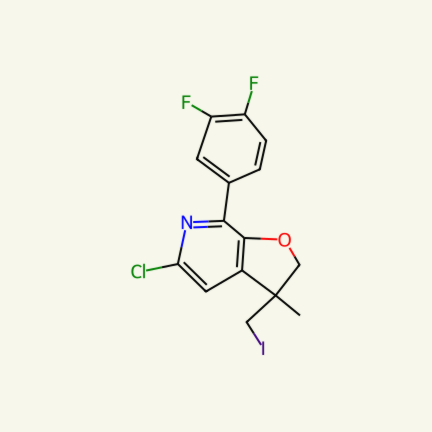 CC1(CI)COc2c1cc(Cl)nc2-c1ccc(F)c(F)c1